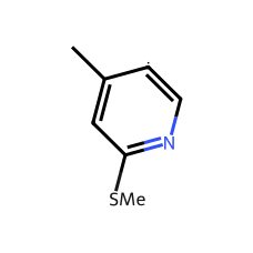 CSc1cc(C)[c]cn1